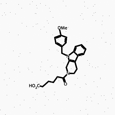 COc1ccc(Cn2c3c(c4ccccc42)CCN(C(=O)CCCCC(=O)O)C3)cc1